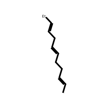 [CH2]C=CCCC=CCC=CCC